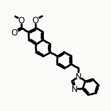 COC(=O)c1cc2ccc(-c3ccc(Cn4cnc5ccccc54)cc3)cc2cc1OC